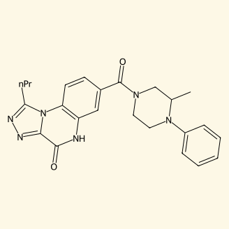 CCCc1nnc2c(=O)[nH]c3cc(C(=O)N4CCN(c5ccccc5)C(C)C4)ccc3n12